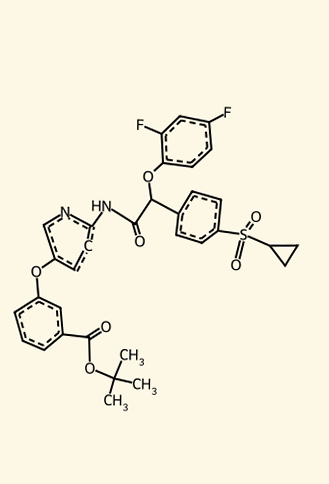 CC(C)(C)OC(=O)c1cccc(Oc2ccc(NC(=O)C(Oc3ccc(F)cc3F)c3ccc(S(=O)(=O)C4CC4)cc3)nc2)c1